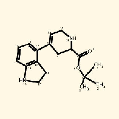 CC(C)(C)OC(=O)C1CC(c2cccc3c2CCN3)=CCN1